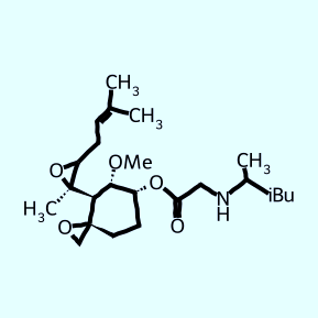 CCC(C)C(C)NCC(=O)O[C@@H]1CC[C@]2(CO2)[C@@H]([C@@]2(C)OC2CC=C(C)C)[C@@H]1OC